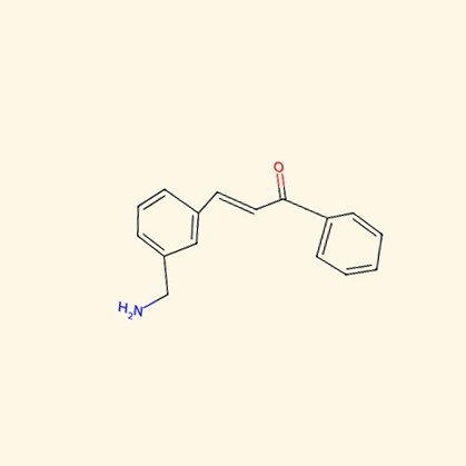 NCc1cccc(C=CC(=O)c2ccccc2)c1